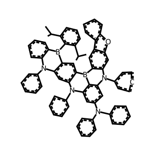 CC(C)c1cccc(C(C)C)c1B1c2ccccc2N(c2ccccc2)c2cc3c(cc21)B1c2cc4c(cc2N(c2ccccc2)c2cc(N(c5ccccc5)c5ccccc5)cc(c21)N3c1ccccc1)oc1ccccc14